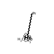 C=C(C)C(=O)C1[O][Ti](=[O])[O]C1C(=O)CCCCCCCCCCCCCCC(C)C